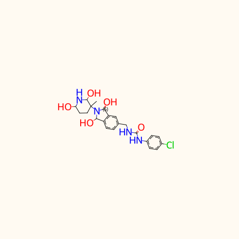 CC1(N2C(O)c3ccc(CNC(=O)Nc4ccc(Cl)cc4)cc3[C@@H]2O)CCC(O)NC1O